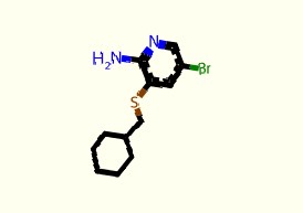 Nc1ncc(Br)cc1SCC1CCCCC1